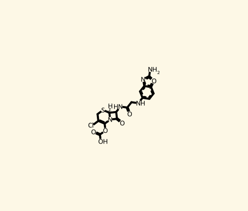 Nc1nc2cc(NCC(=O)NC3C(=O)N4C(OC(=O)O)=C(Cl)CS[C@@H]34)ccc2o1